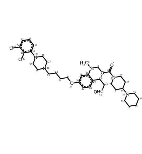 CN(COC(=O)N1CCC(N2CCCCC2)CC1)c1cc(OCCCCN2CCN(c3cccc(Cl)c3Cl)CC2)ccc1CCC=O